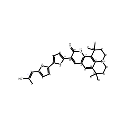 C/C(C#N)=C\c1ccc(-c2ccc(-c3cc4cc5c6c(c4oc3=O)C(C)(C)CCN6CCC5(C)C)s2)s1